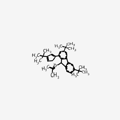 C[C](C)=[Zr][CH]1c2ccc(C(C)(C)C)cc2-c2cc(C(C)(C)C)cc(C3=CC(C(C)(C)C)=CC3)c21